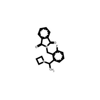 CC(c1cccc(F)c1CN1C(=O)c2ccccc2C1=O)N1CCC1